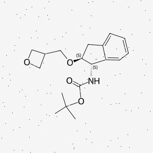 CC(C)(C)OC(=O)N[C@H]1c2ccccc2C[C@@H]1OCC1COC1